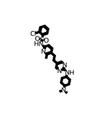 Cc1nc(NS(=O)(=O)c2ccccc2Cl)ccc1CCc1cnc(NC2CCC(N(C)C)CC2)nc1